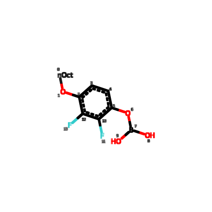 CCCCCCCCOc1ccc(OB(O)O)c(F)c1F